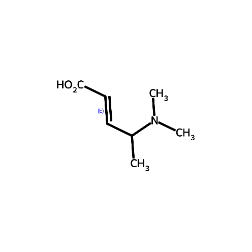 CC(/C=C/C(=O)O)N(C)C